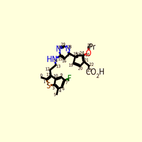 Cc1sc2c(C)cc(F)cc2c1CCNc1cc(-c2ccc(CC(=O)O)c(OC(C)C)c2)ncn1